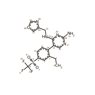 CCc1cc(S(=O)(=O)C(F)(F)F)ccc1-c1cnc(N)nc1NCc1cocn1